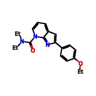 CCOc1ccc(-c2cc3cccn(C(=O)N(CC)CC)c-3n2)cc1